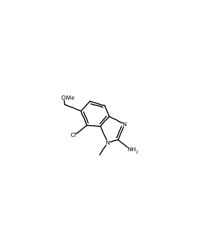 COCc1ccc2nc(N)n(C)c2c1Cl